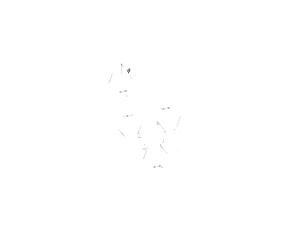 [c]1ccc(Cc2cccnc2)c(-c2ccccc2)c1-c1ccccc1